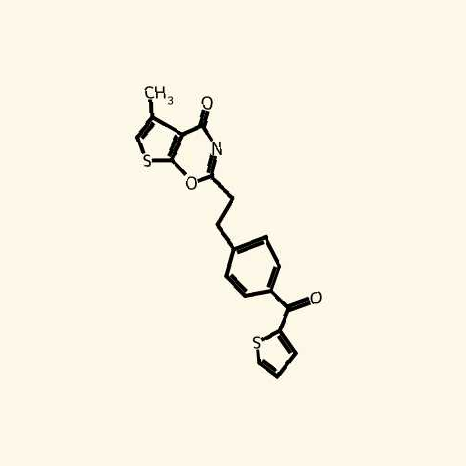 Cc1csc2oc(CCc3ccc(C(=O)c4cccs4)cc3)nc(=O)c12